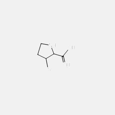 C=C(C)C1NCCC1C(C)=O